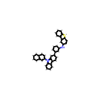 c1cc(Nc2ccc3sc4ccccc4c3c2)cc(-c2ccc3c4ccccc4n(-c4ccc5ccccc5c4)c3c2)c1